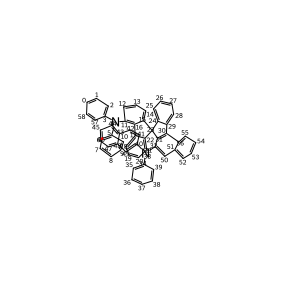 c1ccc(N(c2ccccc2)c2cccc3c2-c2ccccc2C32c3ccccc3-c3c2c(N(c2ccccc2)c2ccc4ccccc4c2)cc2ccccc32)cc1